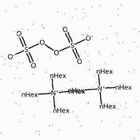 CCCCCC[N+](CCCCCC)(CCCCCC)CCCCCC.CCCCCC[N+](CCCCCC)(CCCCCC)CCCCCC.O=S(=O)([O-])OOS(=O)(=O)[O-]